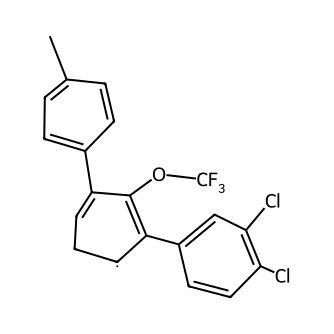 Cc1ccc(C2=CC[CH]C(c3ccc(Cl)c(Cl)c3)=C2OC(F)(F)F)cc1